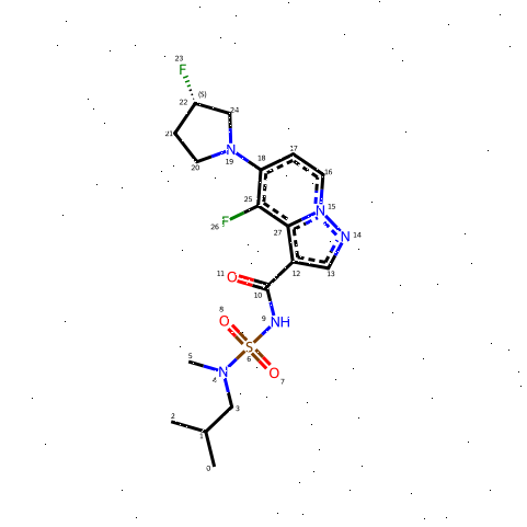 CC(C)CN(C)S(=O)(=O)NC(=O)c1cnn2ccc(N3CC[C@H](F)C3)c(F)c12